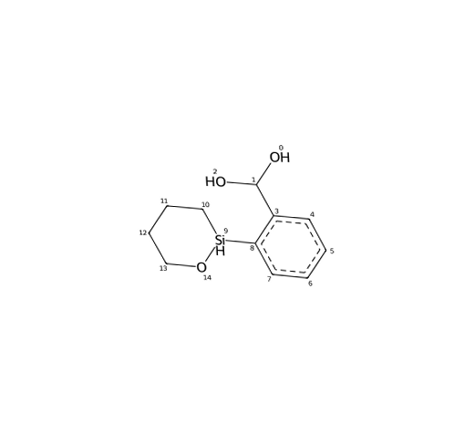 OC(O)c1ccccc1[SiH]1CCCCO1